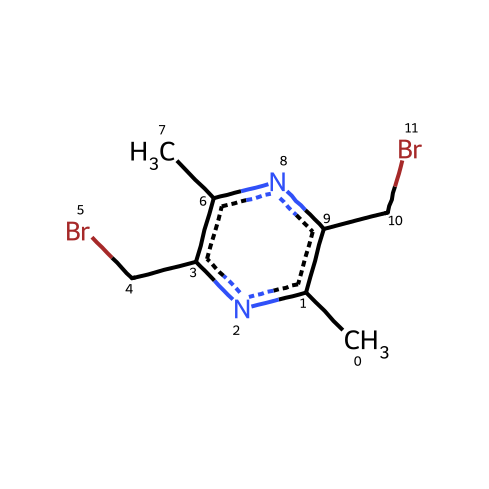 Cc1nc(CBr)c(C)nc1CBr